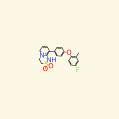 Cc1cc(F)ccc1Oc1ccc(-c2ccc[n+]3c2NS(=O)(=O)CC3)cc1